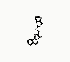 Cc1c(COc2ncc3ncccc3n2)nc2c3ccccc3ccn12